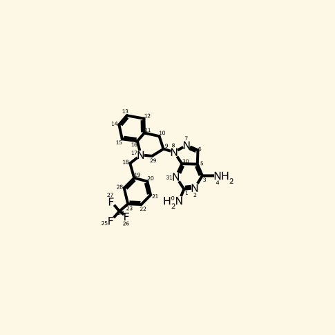 Nc1nc(N)c2cnn(C3Cc4ccccc4N(Cc4cccc(C(F)(F)F)c4)C3)c2n1